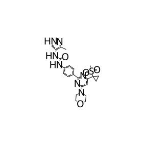 Cc1n[nH]cc1NC(=O)Nc1ccc(-c2nc(N3CCOCC3)cc(C3(S(C)(=O)=O)CC3)n2)cc1